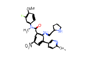 COc1ccc(N(C)C(=O)c2cc([N+](=O)[O-])cc(-c3ccc(C)nc3)c2/N=C/C2CCCN2)cc1F